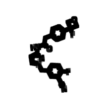 N#Cc1cc(Cn2ccc(NC(=O)Cc3ccc(C4(F)COC4)cc3)n2)ccc1F